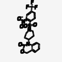 O=C1OCc2ccccc2N1C1CCN(S(=O)(=O)c2ccc(C(F)(F)F)cc2[N+](=O)[O-])CC1